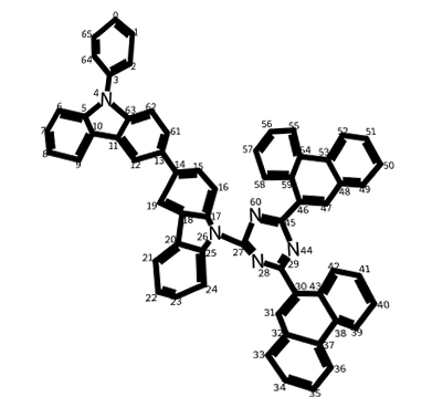 c1ccc(-n2c3ccccc3c3cc(-c4ccc5c(c4)c4ccccc4n5-c4nc(-c5cc6ccccc6c6ccccc56)nc(-c5cc6ccccc6c6ccccc56)n4)ccc32)cc1